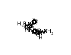 Bc1cnn2c(Nc3ccc(S(=O)(=O)NCCN)cc3)cc(-c3ccccc3)nc12